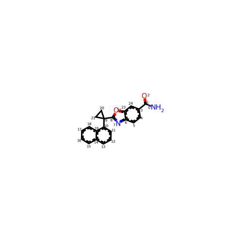 NC(=O)c1ccc2nc(C3(c4cccc5ccccc45)CC3)oc2c1